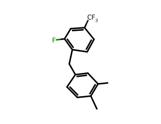 Cc1ccc(Cc2ccc(C(F)(F)F)cc2F)cc1C